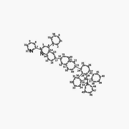 c1ccc(-c2cc(-c3ccccn3)nc3ccc(-c4ccc5cc(-c6cccc7c6-c6ccccc6C7(c6ccccc6)c6ccccc6)ccc5c4)cc23)cc1